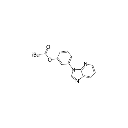 CCC(C)C(=O)Oc1cccc(-n2cnc3cccnc32)c1